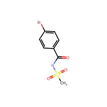 CS(=O)(=O)[N]C(=O)c1ccc(Br)cc1